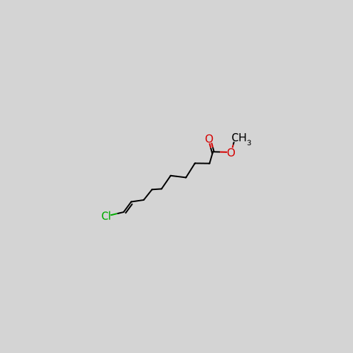 COC(=O)CCCCCCCC=CCl